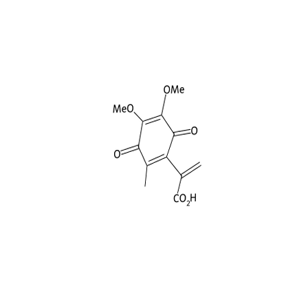 C=C(C(=O)O)C1=C(C)C(=O)C(OC)=C(OC)C1=O